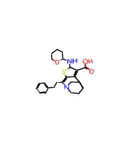 O=C(O)C1=C2C(=C(CCc3ccccc3)N3CCCC2C3)SC1NC1CCCCO1